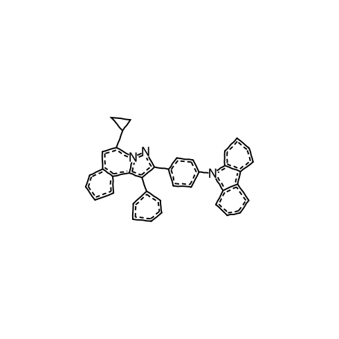 c1ccc(-c2c(-c3ccc(-n4c5ccccc5c5ccccc54)cc3)nn3c(C4CC4)cc4ccccc4c23)cc1